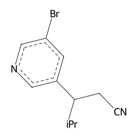 CC(C)C(CC#N)c1cncc(Br)c1